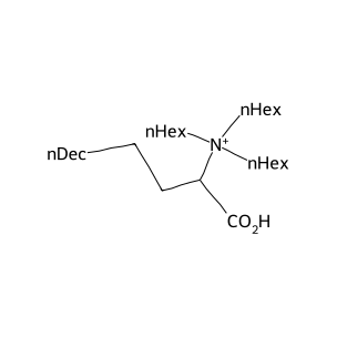 CCCCCCCCCCCCC(C(=O)O)[N+](CCCCCC)(CCCCCC)CCCCCC